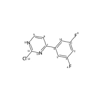 Fc1cc(F)cc(-c2ccnc(Cl)n2)c1